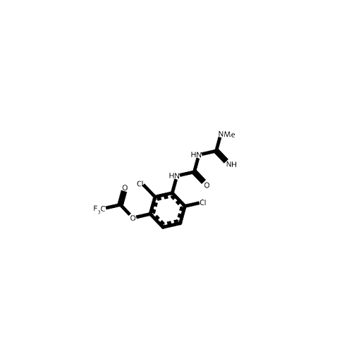 CNC(=N)NC(=O)Nc1c(Cl)ccc(OC(=O)C(F)(F)F)c1Cl